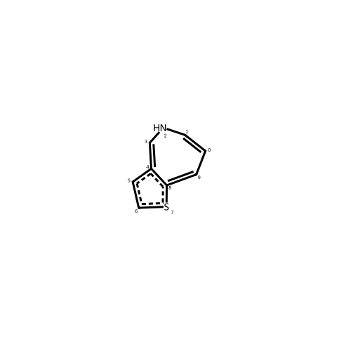 C1=CNC=c2ccsc2=C1